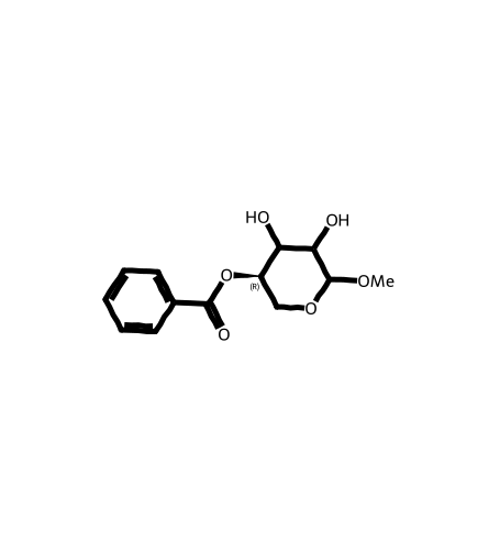 COC1OC[C@@H](OC(=O)c2ccccc2)C(O)C1O